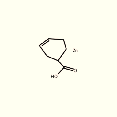 O=C(O)C1CC=CCC1.[Zn]